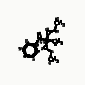 CCO[Si](C)(Nc1ccccc1)OCC